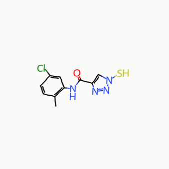 Cc1ccc(Cl)cc1NC(=O)c1cn(S)nn1